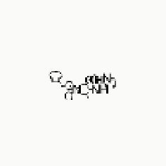 CC1CN(C(=O)OCc2ccccc2)CC(O)C1NC(=O)c1ccccn1